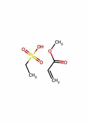 C=CC(=O)OC.CCS(=O)(=O)O